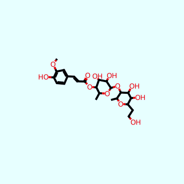 COc1cc(/C=C/C(=O)OC2C(C)OC(OC3C(C)OC(CCO)C(O)C3O)C(O)C2O)ccc1O